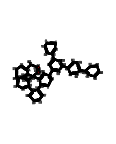 c1ccc(-c2cc(-c3ccc4c(c3)C3(c5ccccc5Sc5ccccc53)c3ccccc3-c3ccccc3-4)nc(-c3cnc(-c4ccccc4)nc3)n2)cc1